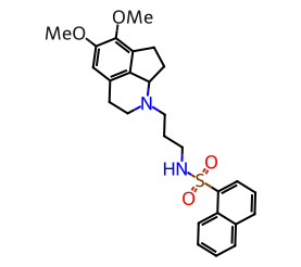 COc1cc2c3c(c1OC)CCC3N(CCCNS(=O)(=O)c1cccc3ccccc13)CC2